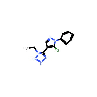 CCN1NNN=C1c1cnn(-c2ccccc2)c1Cl